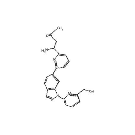 CC(=O)CC(N)c1cccc(-c2ccc3cnn(-c4cccc(CO)n4)c3c2)n1